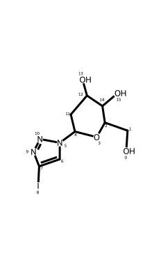 OCC1OC(n2cc(I)nn2)CC(O)C1O